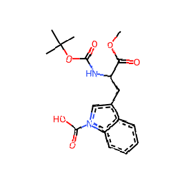 COC(=O)C(Cc1cn(C(=O)O)c2ccccc12)NC(=O)OC(C)(C)C